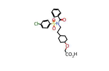 O=C(O)COC1CCC(CCN(C(=O)c2ccccc2)S(=O)(=O)c2ccc(Cl)cc2)CC1